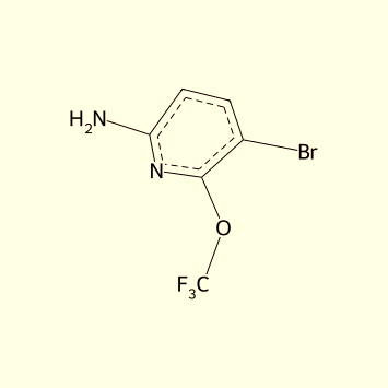 Nc1ccc(Br)c(OC(F)(F)F)n1